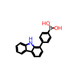 OB(O)c1ccc(-c2cccc3c2[nH]c2ccccc23)cc1